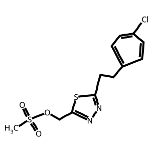 CS(=O)(=O)OCc1nnc(CCc2ccc(Cl)cc2)s1